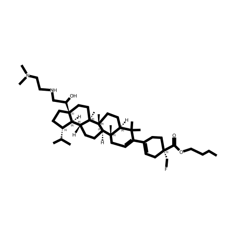 CCCCOC(=O)[C@@]1(CF)CC=C(C2=CC[C@]3(C)[C@H]4CC[C@@H]5[C@H]6[C@H](C(C)C)CC[C@]6(C(O)CNCCN(C)C)CC[C@@]5(C)[C@]4(C)CC[C@H]3C2(C)C)CC1